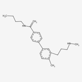 C=C(NCCCC)c1ccc(-c2ccc(C)c(CCCNC)c2)cc1